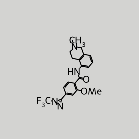 COc1cc(C2=NN2C(F)(F)F)ccc1C(=O)Nc1cccc2c1CCN(C)C2